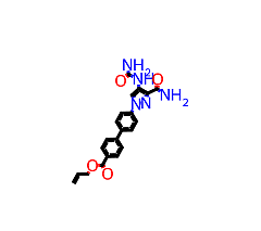 C=CCOC(=O)c1ccc(-c2ccc(-n3cc(NC(N)=O)c(C(N)=O)n3)cc2)cc1